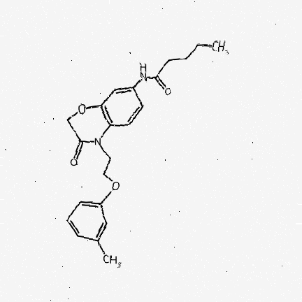 CCCCC(=O)Nc1ccc2c(c1)OCC(=O)N2CCOc1cccc(C)c1